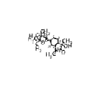 CN1C(=O)C(C)(O)c2ccc(B3OC(C)(C)C(C)(C)O3)cc21